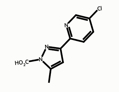 Cc1cc(-c2ccc(Cl)cn2)nn1C(=O)O